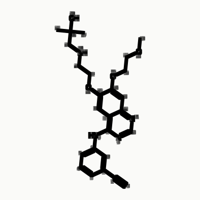 C#Cc1cccc(Nc2ncnc3cc(OCCOC)c(OCCNCC(C)(C)O)cc23)c1